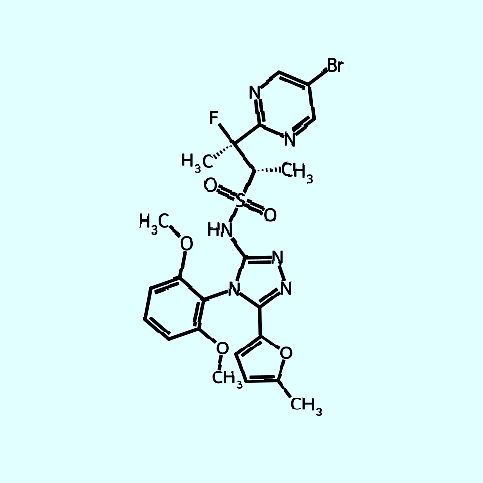 COc1cccc(OC)c1-n1c(NS(=O)(=O)[C@@H](C)[C@@](C)(F)c2ncc(Br)cn2)nnc1-c1ccc(C)o1